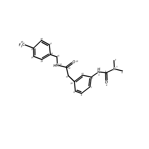 CN(C)C(=O)Nc1cccc(CC(=O)NCc2ccc(C(F)(F)F)cc2)c1